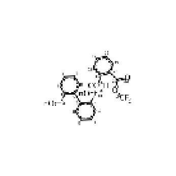 CCCCCCCCc1ccccc1-c1ccccc1CCCCCCCC.O=C(O)c1ccccc1C(=O)OC(F)(F)F